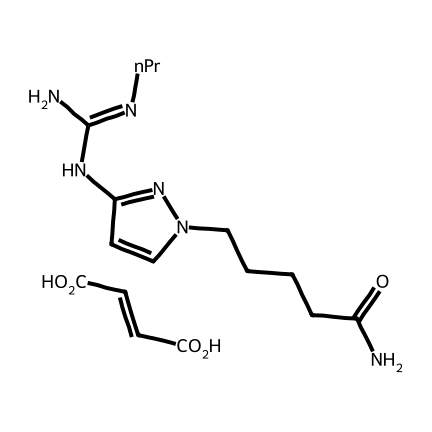 CCCN=C(N)Nc1ccn(CCCCC(N)=O)n1.O=C(O)C=CC(=O)O